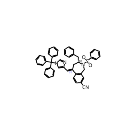 N#Cc1ccc2c(c1)CN(S(=O)(=O)c1ccccc1)[C@H](Cc1ccccc1)C/C2=C\c1cn(C(c2ccccc2)(c2ccccc2)c2ccccc2)cn1